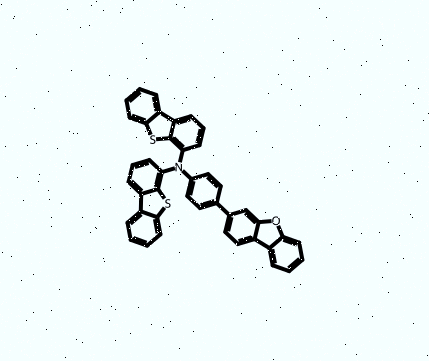 c1ccc2c(c1)oc1cc(-c3ccc(N(c4cccc5c4sc4ccccc45)c4cccc5c4sc4ccccc45)cc3)ccc12